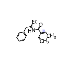 C=C/C(=C\C)C(=O)N[C@H](CC)Cc1ccccc1